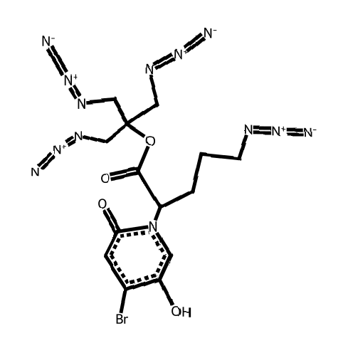 [N-]=[N+]=NCCCC(C(=O)OC(CN=[N+]=[N-])(CN=[N+]=[N-])CN=[N+]=[N-])n1cc(O)c(Br)cc1=O